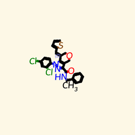 C[C@@H](NC(=O)c1nn(-c2ccc(Cl)cc2Cl)c2c1COC/C2=C\c1cccs1)c1ccccc1